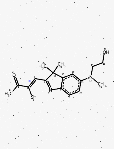 CC(=O)/C(S)=C/C1=Nc2ccc(N(C)CCO)cc2C1(C)C